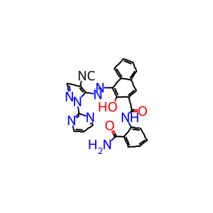 [C-]#[N+]c1cnn(-c2ncccn2)c1/N=N/c1c(O)c(C(=O)Nc2ccccc2C(N)=O)cc2ccccc12